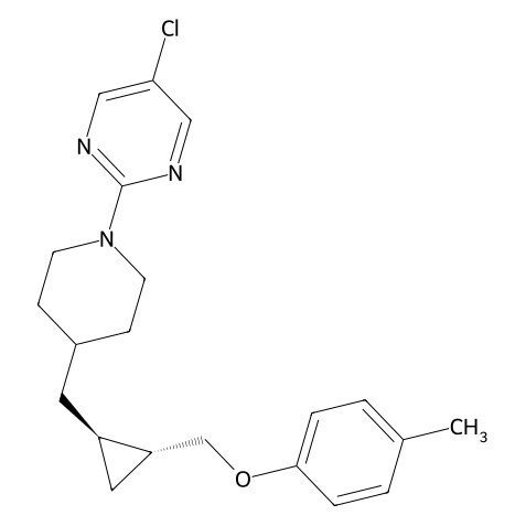 Cc1ccc(OC[C@@H]2C[C@H]2CC2CCN(c3ncc(Cl)cn3)CC2)cc1